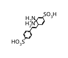 NC1(N)C=C(S(=O)(=O)O)C=CC1C=Cc1ccc(S(=O)(=O)O)cc1